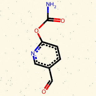 NC(=O)Oc1ccc(C=O)cn1